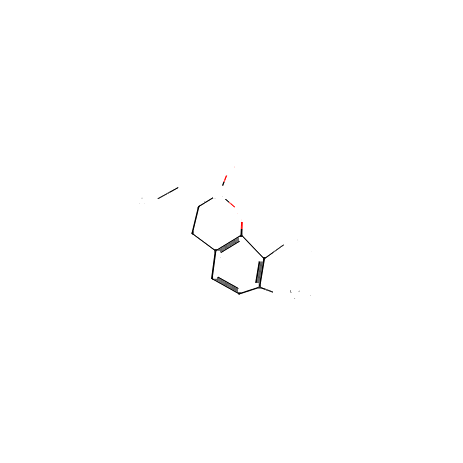 COc1ccc2c(c1C(=O)O)OB(O)[C@@H](CC(C)=O)C2